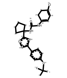 CC(F)(F)Oc1ccc(-c2noc(C3(NC(=O)NC4=CC=C(Cl)CC4)CCCC3)n2)cc1